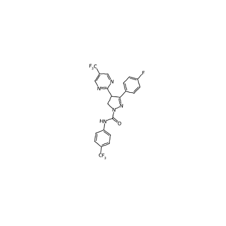 O=C(Nc1ccc(C(F)(F)F)cc1)N1CC(c2ncc(C(F)(F)F)cn2)C(c2ccc(F)cc2)=N1